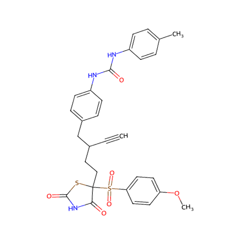 C#CC(CCC1(S(=O)(=O)c2ccc(OC)cc2)SC(=O)NC1=O)Cc1ccc(NC(=O)Nc2ccc(C)cc2)cc1